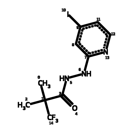 CC(C)(C(=O)NNc1cc(I)ccn1)C(F)(F)F